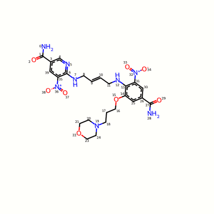 NC(=O)c1cnc(NC/C=C/CNc2c(OCCCN3CCOCC3)cc(C(N)=O)cc2[N+](=O)[O-])c([N+](=O)[O-])c1